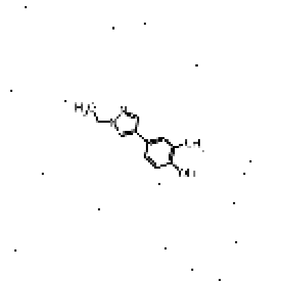 CCn1cc(-c2ccc(O)c(C)c2)cn1